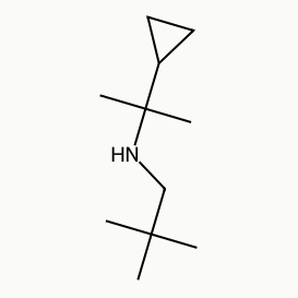 CC(C)(C)CNC(C)(C)C1CC1